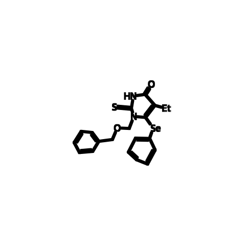 CCc1c([Se]c2ccccc2)n(COCc2ccccc2)c(=S)[nH]c1=O